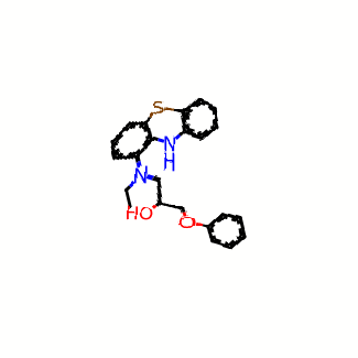 CCN(CC(O)COc1ccccc1)c1cccc2c1Nc1ccccc1S2